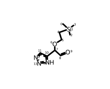 C[Si](C)(C)CCOC(C=O)c1cnn[nH]1